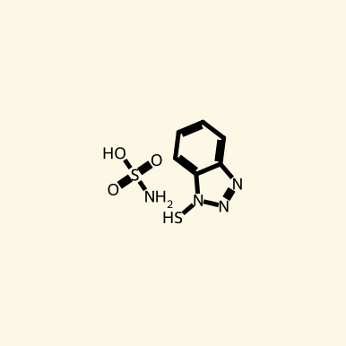 NS(=O)(=O)O.Sn1nnc2ccccc21